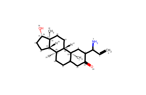 C=CC(N)C1C[C@@]2(C)C(CC[C@H]3[C@@H]4CC[C@H](O)[C@@]4(C)CC[C@@H]32)CC1=O